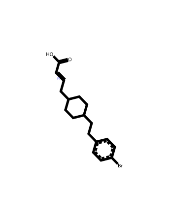 O=C(O)/C=C/CC1CCC(CCc2ccc(Br)cc2)CC1